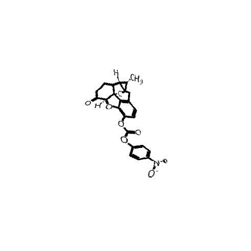 C[C@H]1[C@H]2C3CCC(=O)[C@@H]4Oc5c(OC(=O)Oc6ccc([N+](=O)[O-])cc6)ccc6c5[C@]34CC21C6